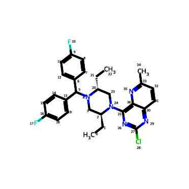 CC[C@H]1CN(C(c2ccc(F)cc2)c2ccc(F)cc2)[C@H](CC)CN1c1nc(Cl)nc2ccc(C)nc12